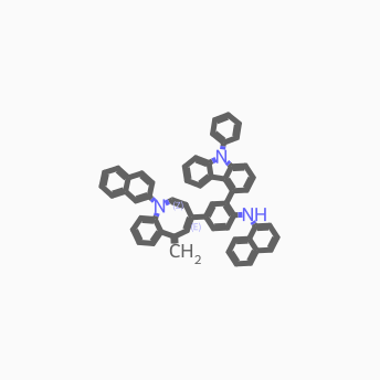 C=C1/C=C(c2ccc(Nc3cccc4ccccc34)c(-c3cccc4c3c3ccccc3n4-c3ccccc3)c2)\C=C/N(c2ccc3ccccc3c2)c2ccccc21